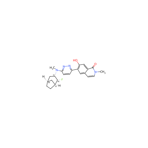 CN(c1ccc(-c2cc3ccn(C)c(=O)c3cc2O)nn1)[C@H]1C[C@@H]2CC[C@@H](C2)[C@H]1F